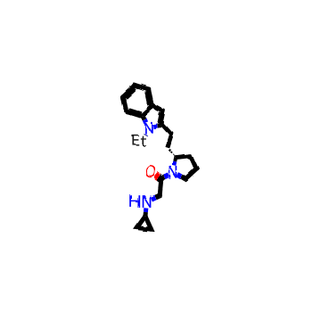 CCn1c(CC[C@@H]2CCCN2C(=O)CNC2CC2)cc2ccccc21